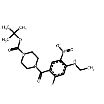 CCNc1cc(F)c(C(=O)N2CCN(C(=O)OC(C)(C)C)CC2)cc1[N+](=O)[O-]